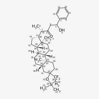 C[C@H](C(=O)CC(O)c1ccccc1)[C@H]1CC[C@H]2[C@@H]3CC[C@H]4CC(O[Si](C)(C)C)(C(F)(F)F)CC[C@]4(C)[C@H]3CC[C@]12C